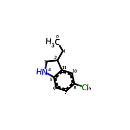 CCC1CNc2ccc(Cl)cc21